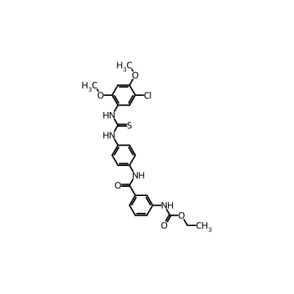 CCOC(=O)Nc1cccc(C(=O)Nc2ccc(NC(=S)Nc3cc(Cl)c(OC)cc3OC)cc2)c1